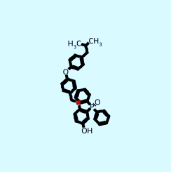 CC(C)Cc1ccc(Oc2ccc(COc3ccc(O)cc3P(=O)(c3ccccc3)c3ccccc3)cc2)cc1